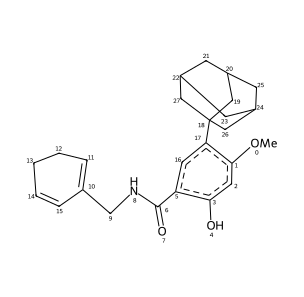 COc1cc(O)c(C(=O)NCC2=CCCC=C2)cc1C12CC3CC(CC(C3)C1)C2